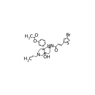 C=CCN1CC[C@@]2(c3cccc(OC(C)=O)c3)C[C@H](NC(=O)C=Cc3cc(Br)cs3)CC[C@]2(O)C1